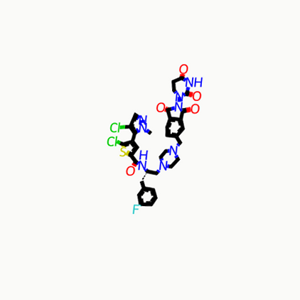 Cn1ncc(Cl)c1-c1cc(C(=O)N[C@@H](Cc2cccc(F)c2)CN2CCN(Cc3ccc4c(c3)C(=O)N(N3CCC(=O)NC3=O)C4=O)CC2)sc1Cl